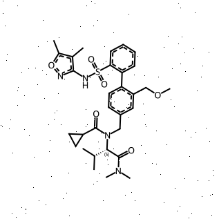 COCc1cc(CN(C(=O)C2CC2)[C@H](C(=O)N(C)C)C(C)C)ccc1-c1ccccc1S(=O)(=O)Nc1noc(C)c1C